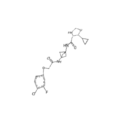 O=C(COc1ccc(Cl)c(F)c1)NC12CC(NC(=O)C3NCOC3C3CC3)(C1)C2